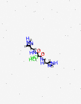 Cl.Cl.O=C(CC(=O)NCCc1c[nH]cn1)NCCc1c[nH]cn1